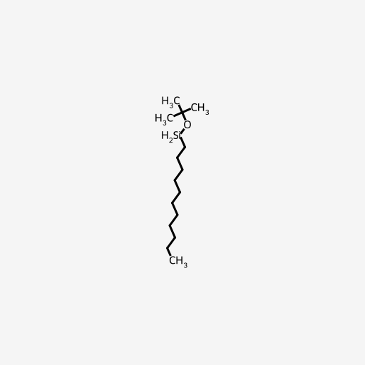 CCCCCCCCCCC[SiH2]OC(C)(C)C